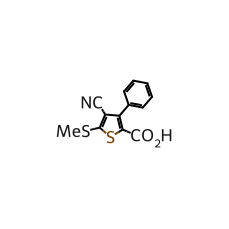 CSc1sc(C(=O)O)c(-c2ccccc2)c1C#N